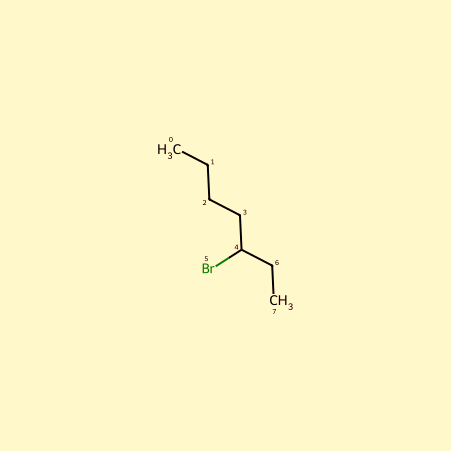 CCCCC(Br)CC